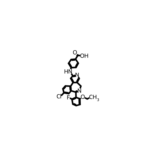 CCOc1cccc(F)c1C1=NCc2cnc(Nc3ccc(C(=O)O)cc3)cc2-c2ccc(Cl)cc21